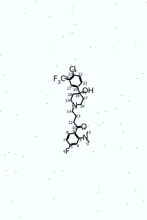 CN(C)c1cc(F)ccc1C(=O)CCCN1CCC(O)(c2ccc(Cl)c(C(F)(F)F)c2)CC1